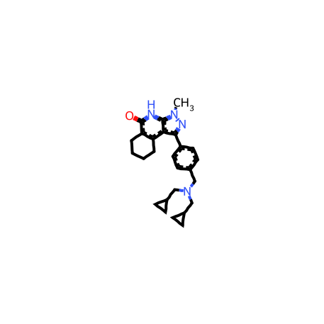 Cn1nc(-c2ccc(CN(CC3CC3)CC3CC3)cc2)c2c3c(c(=O)[nH]c21)CCCC3